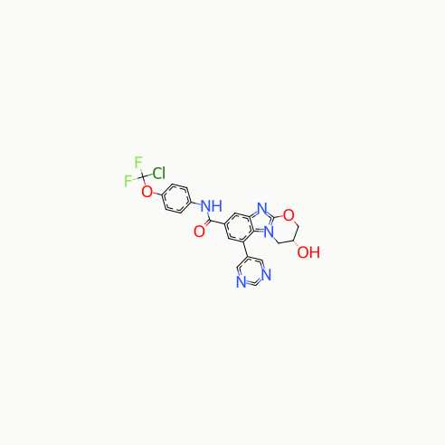 O=C(Nc1ccc(OC(F)(F)Cl)cc1)c1cc(-c2cncnc2)c2c(c1)nc1n2C[C@@H](O)CO1